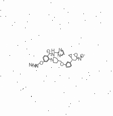 [N-]=[N+]=NCOc1ccc(C(=O)NCc2ncccn2)c(N2CCC(COc3cccc(C(CC(=O)N=O)C4CC4)c3)CC2)c1